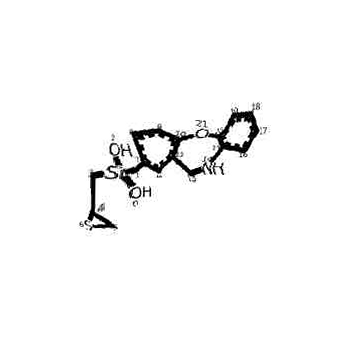 O[Si](O)(CC1CS1)c1ccc2c(c1)CNc1ccccc1O2